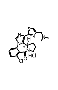 CN(C)Cc1csc(-c2ncn3c2[C@@H]2CCCN2C(=O)c2c(Cl)cccc2-3)n1.Cl